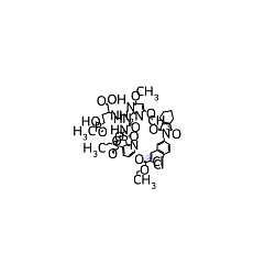 CCOC(=O)/C(Cl)=C/c1cc(N2C(=O)C3=C(CCCC3)C2=O)ccc1Cl.CCS(=O)(=O)c1cccnc1S(=O)(=O)NC(=O)Nc1nc(OC)cc(OC)n1.CP(=O)(O)CCC(N)C(=O)O